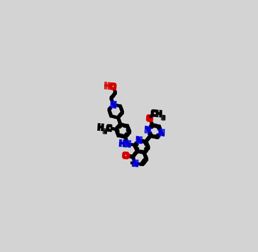 COc1cncc(-c2cc3c(c(Nc4ccc(C5CCN(CCO)CC5)c(C)c4)n2)C(=O)[N]C=C3)n1